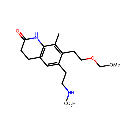 COCOCCc1c(CCNC(=O)O)cc2c(c1C)NC(=O)CC2